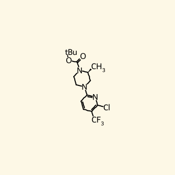 C[C@H]1CN(c2ccc(C(F)(F)F)c(Cl)n2)CCN1C(=O)OC(C)(C)C